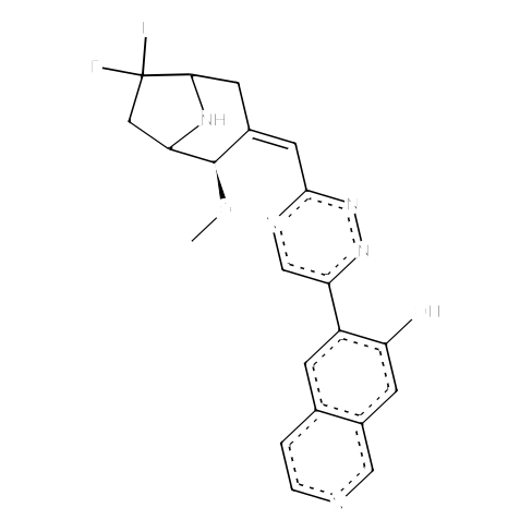 CO[C@@H]1/C(=C\c2ncc(-c3cc4ccncc4cc3O)nn2)CC2NC1CC2(F)F